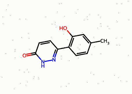 Cc1ccc(-c2ccc(=O)[nH]n2)c(O)c1